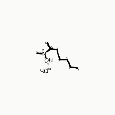 CCCCCC(C)N(C)O.Cl